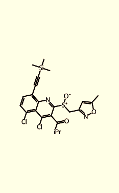 Cc1cc(C[S+]([O-])c2nc3c(C#C[Si](C)(C)C)ccc(Cl)c3c(Cl)c2C(=O)C(C)C)no1